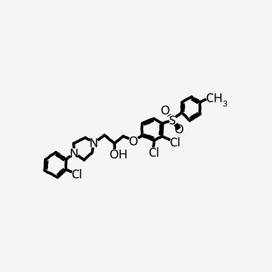 Cc1ccc(S(=O)(=O)c2ccc(OCC(O)CN3CCN(c4ccccc4Cl)CC3)c(Cl)c2Cl)cc1